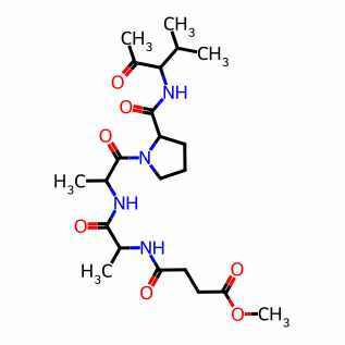 COC(=O)CCC(=O)NC(C)C(=O)NC(C)C(=O)N1CCCC1C(=O)NC(C(C)=O)C(C)C